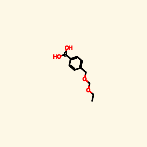 CCOCOCc1ccc(B(O)O)cc1